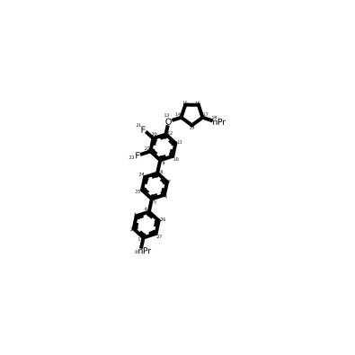 CCCc1ccc(-c2ccc(-c3ccc(OC4CCC(CCC)C4)c(F)c3F)cc2)cc1